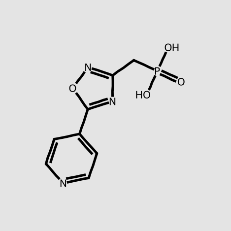 O=P(O)(O)Cc1noc(-c2ccncc2)n1